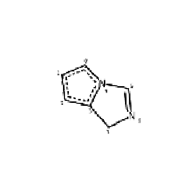 [c]1ccc2n1C=NC2